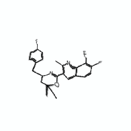 Cc1nc2c(F)c(F)ccc2cc1C1=NC(Cc2ccc(F)cc2)CC(C)(C)O1